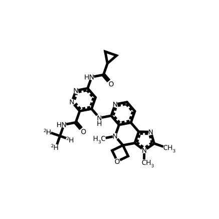 [2H]C([2H])([2H])NC(=O)c1nnc(NC(=O)C2CC2)cc1Nc1nccc2c1N(C)C1(COC1)c1c-2nc(C)n1C